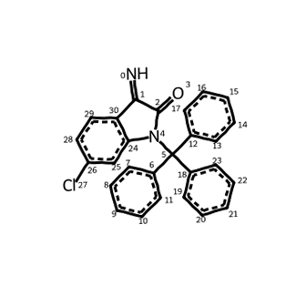 N=C1C(=O)N(C(c2ccccc2)(c2ccccc2)c2ccccc2)c2cc(Cl)ccc21